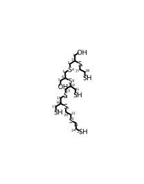 OCC(CSCC(CO)SC(CS)CSCC(CS)SCCSCCS)SCCS